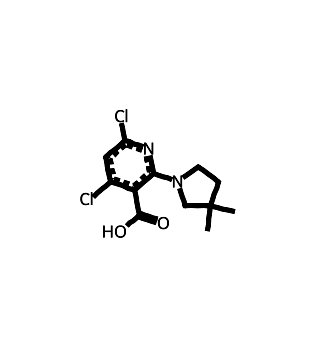 CC1(C)CCN(c2nc(Cl)cc(Cl)c2C(=O)O)C1